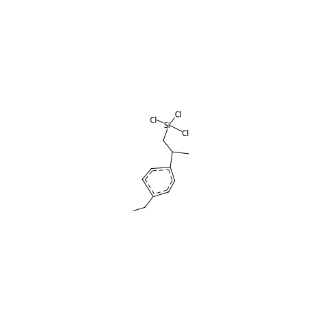 CCc1ccc(C(C)C[Si](Cl)(Cl)Cl)cc1